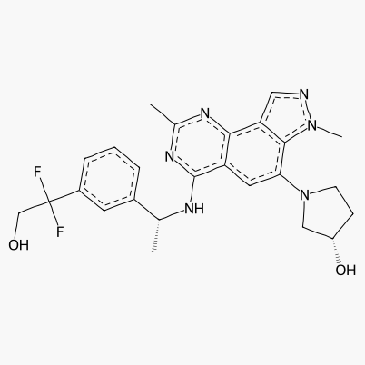 Cc1nc(N[C@H](C)c2cccc(C(F)(F)CO)c2)c2cc(N3CC[C@H](O)C3)c3c(cnn3C)c2n1